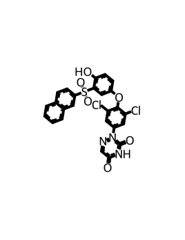 O=c1cnn(-c2cc(Cl)c(Oc3ccc(O)c(S(=O)(=O)c4ccc5ccccc5c4)c3)c(Cl)c2)c(=O)[nH]1